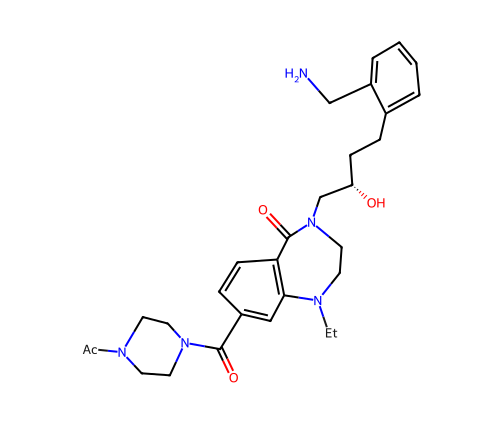 CCN1CCN(C[C@@H](O)CCc2ccccc2CN)C(=O)c2ccc(C(=O)N3CCN(C(C)=O)CC3)cc21